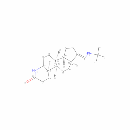 CC(C)(C)NC=C1CC[C@H]2[C@@H]3CCC4NC(=O)CC[C@]4(C)[C@@H]3CC[C@]12C